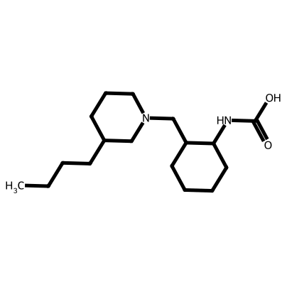 CCCCC1CCCN(CC2CCCCC2NC(=O)O)C1